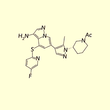 CC(=O)N1CCC[C@H](n2ncc(-c3cc(Sc4ccc(F)cn4)c4c(N)cnn4c3)c2C)C1